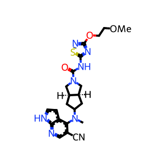 COCCOc1nsc(NC(=O)N2C[C@H]3CC(N(C)c4c(C#N)cnc5[nH]ccc45)C[C@H]3C2)n1